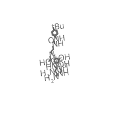 CC(C)(C)c1ccc(NC(=O)NCCCN(CCO)C[C@H]2O[C@@H](NC3NCNC(N)C3N)[C@H](O)[C@@H]2O)cc1